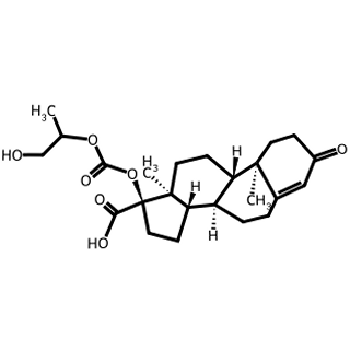 CC(CO)OC(=O)O[C@]1(C(=O)O)CC[C@H]2[C@@H]3CCC4=CC(=O)CC[C@]4(C)[C@H]3CC[C@@]21C